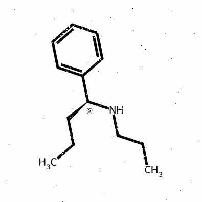 CCCN[C@@H](CCC)c1ccccc1